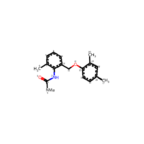 CNC(=O)Nc1c(C)cccc1COc1ccc(C)cc1C